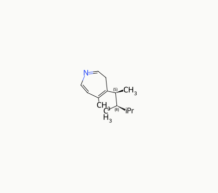 CC1=C([C@@H](C)[C@H](C)C(C)C)CC=NC=C1